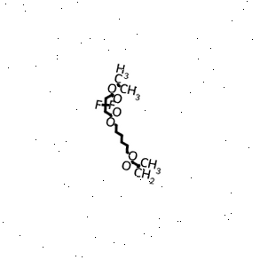 C=C(C)C(=O)OCCCCCCOC(=O)CC(F)(F)CC(=O)OC(C)C